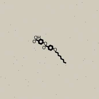 CCCCCCCCOc1ccc(C(=O)Oc2ccc(C(=O)O)cc2)cc1